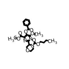 CCCCOC(=O)N1CCOCC1c1nc(OC)c(OC(=O)c2ccccc2)c(C(=O)OC)n1